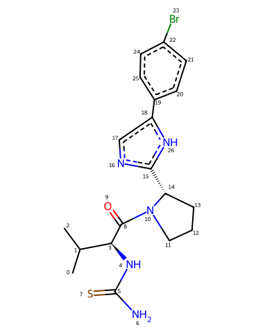 CC(C)[C@H](NC(N)=S)C(=O)N1CCC[C@H]1c1ncc(-c2ccc(Br)cc2)[nH]1